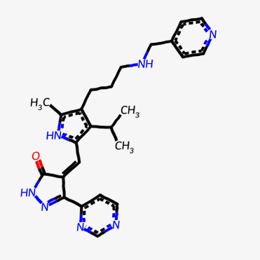 Cc1[nH]c(C=C2C(=O)NN=C2c2ccncn2)c(C(C)C)c1CCCNCc1ccncc1